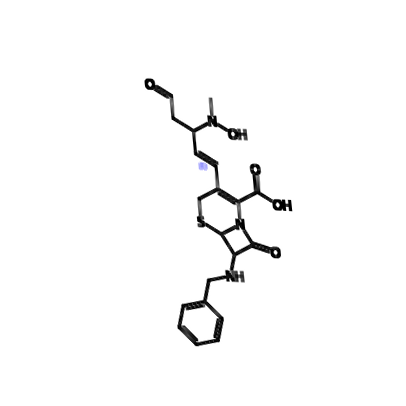 CN(O)C(/C=C/C1=C(C(=O)O)N2C(=O)C(NCc3ccccc3)C2SC1)CC=O